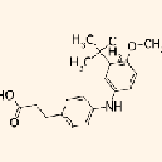 COc1ccc(Nc2ccc(CCC(=O)O)cc2)cc1C(C)(C)C